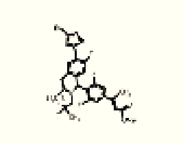 CCn1cc(-c2cc3c(cc2F)C(c2c(F)cc(/C(C)=C/C(=O)OC)cc2F)N(CC(C)(C)F)C(C)C3)cn1